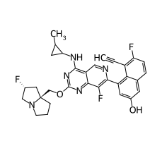 C#Cc1c(F)ccc2cc(O)cc(-c3ncc4c(NC5CC5C)nc(OC[C@@]56CCCN5C[C@H](F)C6)nc4c3F)c12